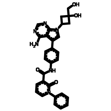 Nc1ncnc2c1c(-c1ccc(NC(=O)c3cccn(-c4ccccc4)c3=O)cc1)cn2C1CC(O)(CO)C1